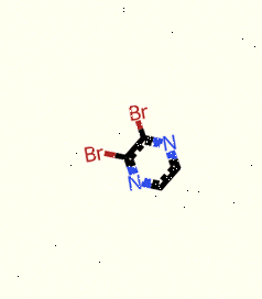 Brc1nccnc1Br